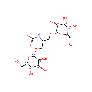 O=C(O)NC(CO[C@H]1O[C@H](CO)[C@@H](O)[C@H](O)[C@@H]1O)CO[C@H]1O[C@H](CO)[C@@H](O)[C@H](O)[C@@H]1O